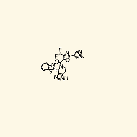 Cn1cc(-c2nc(C(F)F)c(C(=O)N3CCc4[nH]cnc4[C@H]3c3nc4ccccc4s3)o2)cn1